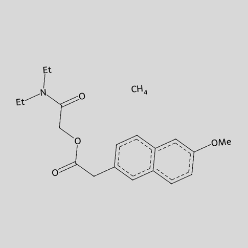 C.CCN(CC)C(=O)COC(=O)Cc1ccc2cc(OC)ccc2c1